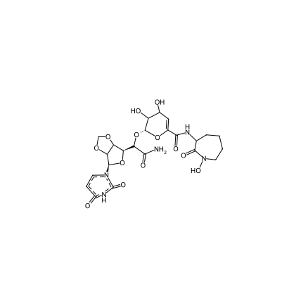 NC(=O)C(O[C@H]1OC(C(=O)NC2CCCCN(O)C2=O)=CC(O)C1O)[C@H]1O[C@@H](n2ccc(=O)[nH]c2=O)C2OCOC21